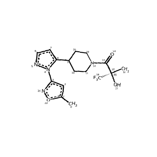 Cc1cc(-n2nccc2C2CCN(C(=O)[C@@](C)(O)C(F)(F)F)CC2)no1